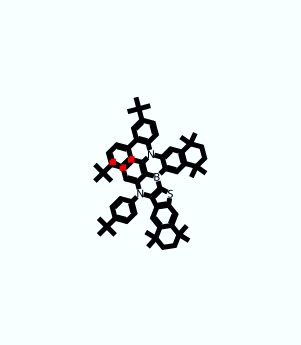 Cc1cc2c3c(c1)N(c1ccc(C(C)(C)C)cc1)c1c(sc4cc5c(cc14)C(C)(C)CCC5(C)C)B3c1cc3c(cc1N2c1ccc(C(C)(C)C)cc1-c1ccc(C(C)(C)C)cc1)C(C)(C)CCC3(C)C